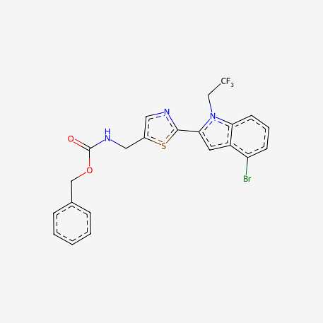 O=C(NCc1cnc(-c2cc3c(Br)cccc3n2CC(F)(F)F)s1)OCc1ccccc1